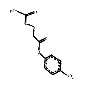 CCCC(=O)SCCC(=O)Oc1ccc([N+](=O)[O-])cc1